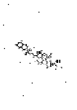 CNC(=O)C1C(C(C(=O)OC)[C@@H]2CCCN(C(=N)N)C2)CCCN1C(=O)CCNS(=O)(=O)c1ccc2ccccc2c1